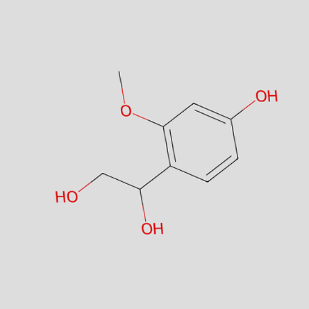 COc1cc(O)ccc1C(O)CO